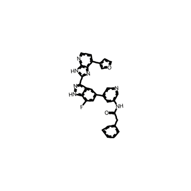 O=C(Cc1ccccc1)Nc1cncc(-c2cc(F)c3[nH]nc(-c4nc5c(-c6ccoc6)ccnc5[nH]4)c3c2)c1